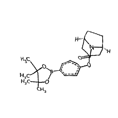 CC1(C)OB(c2ccc(OC3C[C@H]4CC[C@@H](C3)N4C=O)cc2)OC1(C)C